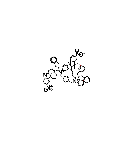 CN1/C(=C/C=C/C2=[N+](Cc3ccc(C[N+]4=C(/C=C/C=C5/N(C)c6ccc([N+](=O)[O-])cc6C56CCCCC6)C(Cc5ccccc5)(Cc5ccccc5)c5ccccc54)cc3)c3ccccc3C2(Cc2ccccc2)Cc2ccccc2)C2(CCCCC2)c2cc([N+](=O)[O-])ccc21